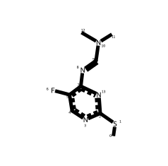 CSc1ncc(F)c(N=CN(C)C)n1